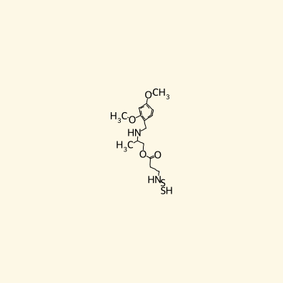 COc1ccc(CNC(C)COC(=O)CCNSS)c(OC)c1